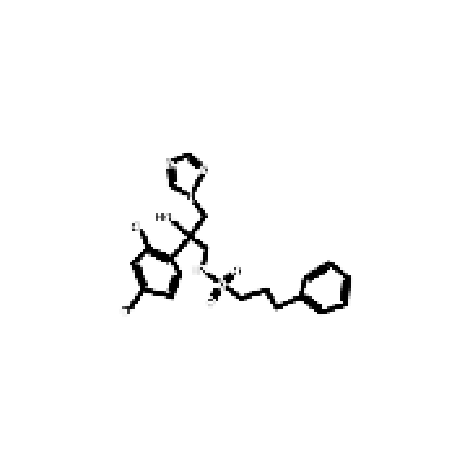 O=S(=O)(CCCc1ccccc1)NCC(O)(Cn1cncn1)c1ccc(Cl)cc1Cl